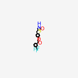 O=C1NCC(Cc2ccc(OCC(=O)c3cccc(C(F)(F)F)c3)cc2)S1